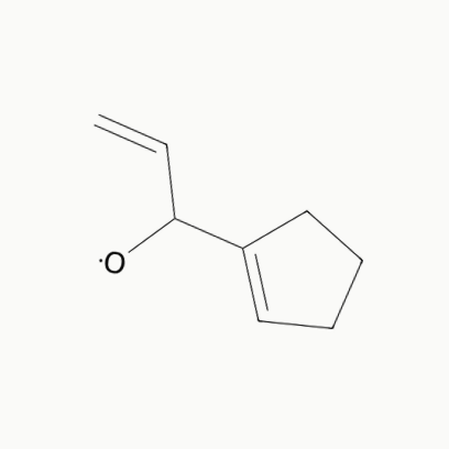 C=CC([O])C1=CCCC1